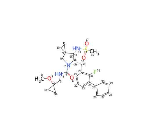 COC1(CNC(=O)N2CC3(CC3)[C@H](NS(C)(=O)=O)[C@@H]2Cc2cccc(-c3ccccc3)c2F)CC1